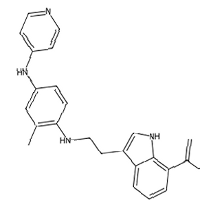 C=C(C)c1cccc2c(CCNc3ccc(Nc4ccncc4)cc3C)c[nH]c12